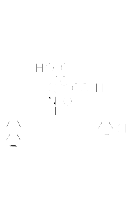 O=C(O)COC(C(=O)O)C(OCCCCCc1cccc(Cl)c1)C(=O)NCCCCCc1ccc2ccccc2c1